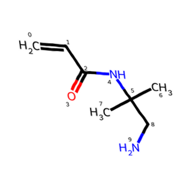 C=CC(=O)NC(C)(C)CN